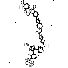 CCCS(=O)(=O)Nc1cccc(-c2nc(C(C)(C)C)sc2-c2ccnc(NC3CC4(C3)CN(C(=O)CN3CCC5(CC3)CN(c3ccc6c(c3)C(=O)N([C@@H]3CCC(=O)NC3=O)C6=O)C5)C4)n2)c1F